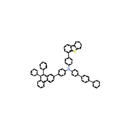 c1ccc(-c2ccc(-c3ccc(N(c4ccc(-c5ccc6c(c5)c(-c5ccccc5)c(-c5ccccc5)c5ccccc56)cc4)c4ccc(-c5cccc6c5sc5ccccc56)cc4)cc3)cc2)cc1